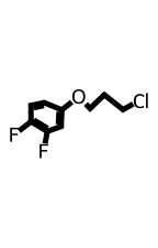 Fc1ccc(OCCCCl)cc1F